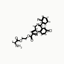 C[C@H](N)C(=O)OCCOC(=O)c1cc2n(n1)-c1ccc(Cl)cc1C(c1ccccc1F)=NC2